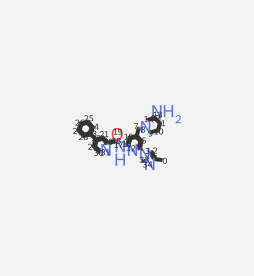 Cc1cn(-c2cc(CN3CCC[C@H](N)C3)cc(NC(=O)c3cc(-c4ccccc4)ccn3)n2)cn1